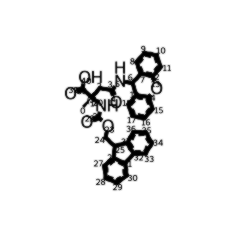 C[C@@](CC(=O)NC1c2ccccc2Oc2ccccc21)(NC(=O)OCC1c2ccccc2-c2ccccc21)C(=O)O